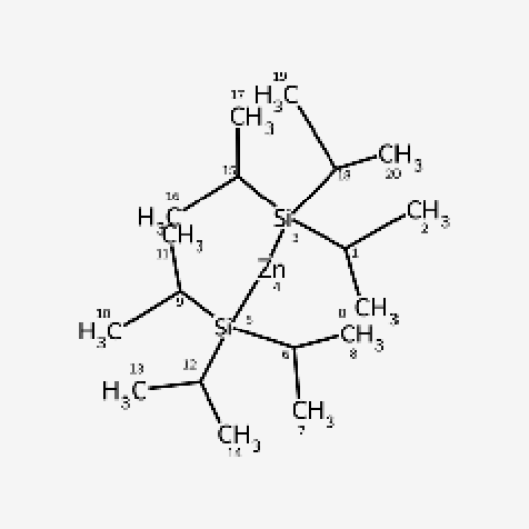 CC(C)[Si]([Zn][Si](C(C)C)(C(C)C)C(C)C)(C(C)C)C(C)C